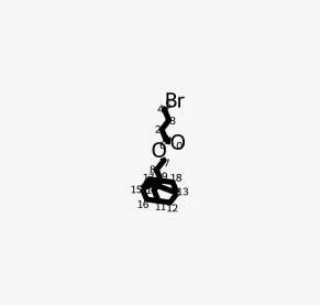 O=C(CCCBr)OCCC12CC3CC(CC(C3)C1)C2